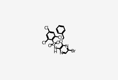 O=S(=O)(Nc1ncc(Br)nc1OCc1ccccc1)c1c(Cl)cc(Cl)cc1Cl